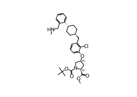 CNCc1ccccc1[C@H]1CC[C@H](Cc2cccc(O[C@H]3C[C@@H](C(=O)OC)N(C(=O)OC(C)(C)C)C3)c2Cl)CC1